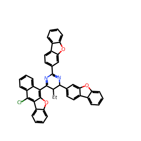 CCC1C(c2c3ccccc3c(Cl)c3c2oc2ccccc23)=NC(c2ccc3c(c2)oc2ccccc23)=NC1c1ccc2c(c1)oc1ccccc12